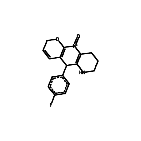 O=[N+]1C2=C(NCCC2)C(c2ccc(F)cc2)C2=C1OCC=C2